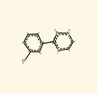 Clc1cccc(-c2nccnn2)c1